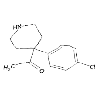 CC(=O)C1(c2ccc(Cl)cc2)CCNCC1